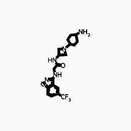 NC1CCC(N2CC(NC(=O)CNc3noc4ccc(C(F)(F)F)cc34)C2)CC1